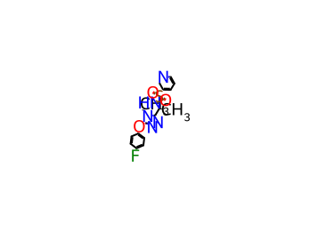 CCn1c(Oc2ccc(F)cc2)nnc1[C@@H](C)NS(=O)(=O)c1cccnc1